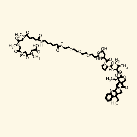 CCc1c2c(nc3ccccc13)-c1cc3c(c(=O)n1C2)COC(=O)[C@@]3(CC)OC(=O)[C@@H](NC(=O)[C@@H]1CCCN1C(=O)C(CC(=O)O)NC(=O)CCOCCOCCOCCNC(=O)CCCCCNC(=O)CCCC(=O)N(C)CC(=O)N(C)CC(=O)N(C)CC(=O)N(C)CC(=O)O)C(C)C